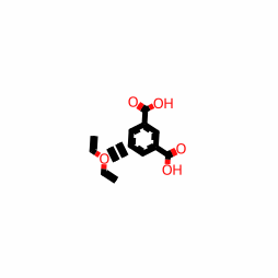 C=C.C=C.C=COC=C.O=C(O)c1cccc(C(=O)O)c1